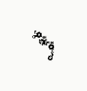 Fc1ccc(Nc2ncnc3nc(Nc4ccc(OCCN5CCCC5)cc4)sc23)cc1Cl